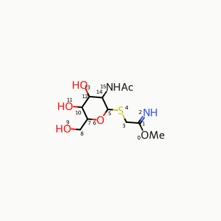 COC(=N)CSC1OC(CO)C(O)C(O)C1NC(C)=O